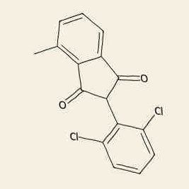 Cc1cccc2c1C(=O)C(c1c(Cl)cccc1Cl)C2=O